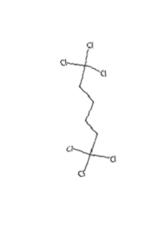 ClC(Cl)(Cl)CCCCC(Cl)(Cl)Cl